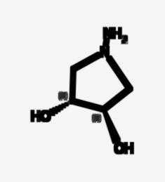 NN1C[C@@H](O)[C@H](O)C1